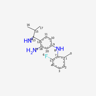 Cc1cccc(F)c1Nc1ccc(C(=N)C(C)C)c(N)c1